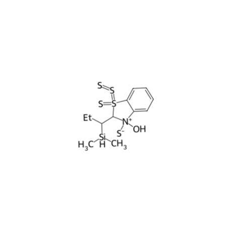 CCC(C1[N+](O)([S-])c2ccccc2S1(=S)=S=S)[SiH](C)C